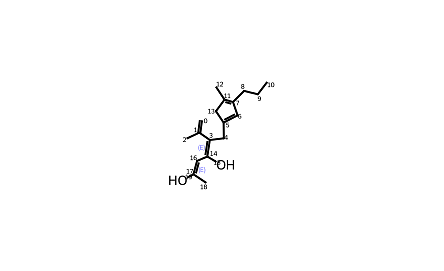 C=C(C)/C(CC1=CC(CCC)=C(C)C1)=C(O)\C=C(/C)O